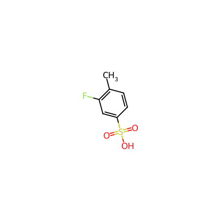 Cc1ccc(S(=O)(=O)O)cc1F